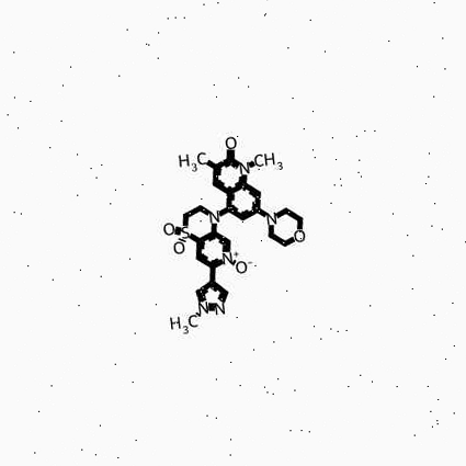 Cc1cc2c(N3CCS(=O)(=O)c4cc(-c5cnn(C)c5)[n+]([O-])cc43)cc(N3CCOCC3)cc2n(C)c1=O